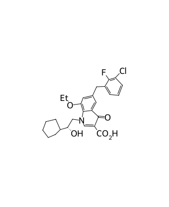 CCOc1cc(Cc2cccc(Cl)c2F)cc2c(=O)c(C(=O)O)cn(C[C@H](O)C3CCCCC3)c12